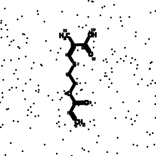 C=CC(=O)OCCSC=C(C)C(=O)O